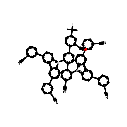 N#Cc1cccc(-c2ccc3c(c2)c2cc(-c4cccc(C#N)c4)ccc2n3-c2cc(C#N)ccc2-c2ccc(-c3ccc(C(F)(F)F)cc3C#N)cc2-n2c3ccc(-c4cccc(C#N)c4)cc3c3cc(-c4cccc(C#N)c4)ccc32)c1